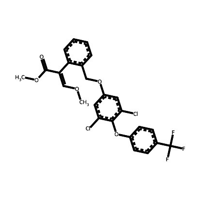 CO/C=C(/C(=O)OC)c1ccccc1COc1cc(Cl)c(Oc2ccc(C(F)(F)F)cc2)c(Cl)c1